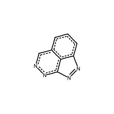 c1cc2c3c(nncc3c1)N=N2